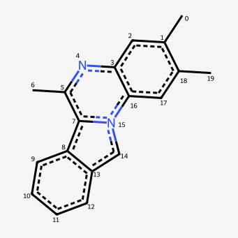 Cc1cc2nc(C)c3c4ccccc4cn3c2cc1C